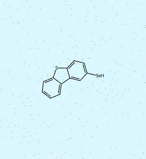 [SeH]c1ccc2sc3ccccc3c2c1